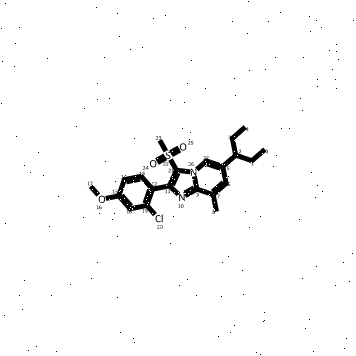 CCC(CC)c1cc(C)c2nc(-c3ccc(OC)cc3Cl)c(S(C)(=O)=O)n2c1